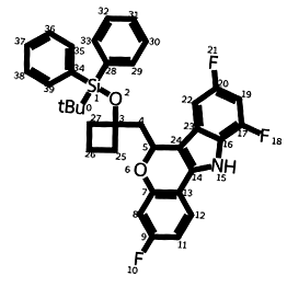 CC(C)(C)[Si](OC1(CC2Oc3cc(F)ccc3-c3[nH]c4c(F)cc(F)cc4c32)CCC1)(c1ccccc1)c1ccccc1